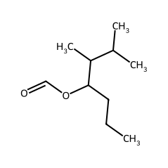 CCCC(OC=O)C(C)C(C)C